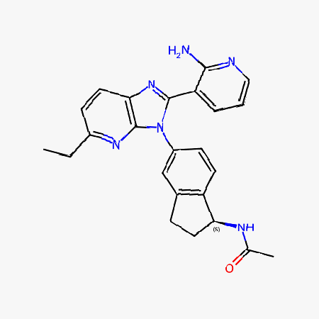 CCc1ccc2nc(-c3cccnc3N)n(-c3ccc4c(c3)CC[C@@H]4NC(C)=O)c2n1